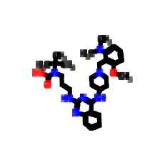 COc1cccc(N(C)C)c1CN1CCC(Nc2nc(NCCCN(C(=O)O)C(C)(C)C)nc3ccccc23)CC1